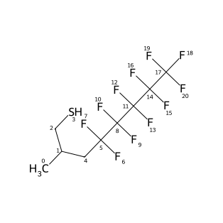 CC(CS)CC(F)(F)C(F)(F)C(F)(F)C(F)(F)C(F)(F)F